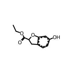 CCOC(=O)C1Cc2ccc(O)cc2O1